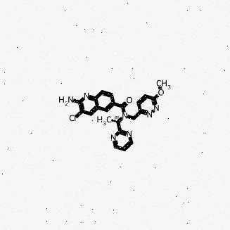 COc1ccc(CN(C(=O)c2ccc3nc(N)c(Cl)cc3c2)[C@H](C)c2ncccn2)nn1